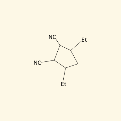 CCC1CC(CC)C(C#N)C1C#N